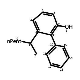 CCCCCC(C)c1cccc(O)c1-c1ccccc1